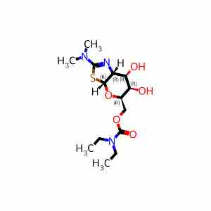 CCN(CC)C(=O)OC[C@H]1O[C@@H]2SC(N(C)C)=N[C@@H]2[C@@H](O)[C@H]1O